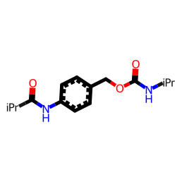 CC(C)NC(=O)OCc1ccc(NC(=O)C(C)C)cc1